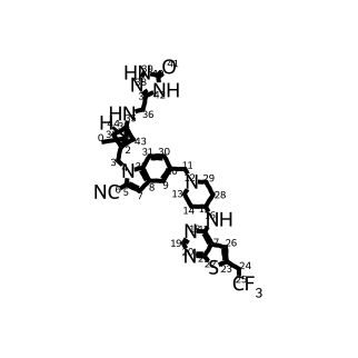 C[C@H]1C2(Cn3c(C#N)cc4cc(CN5CCC(Nc6ncnc7sc(CC(F)(F)F)cc67)CC5)ccc43)CC1(NCc1n[nH]c(=O)[nH]1)C2